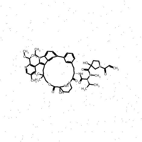 C=CC(=O)N1CCC(O)(C(=O)N(C)[C@H](C(=O)N[C@H]2Cc3cccc(c3)-c3ccc4c(c3)c(c(-c3cc(C)cnc3[C@H](C)OC)n4CC)CC(C)(C)COC(=O)[C@@]3(O)CCCN(N3)C2=O)C(C)C)C1